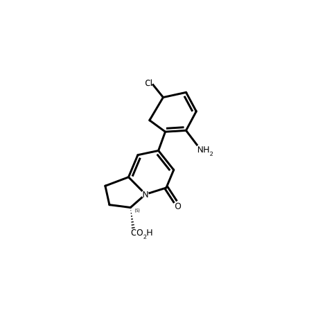 NC1=C(c2cc3n(c(=O)c2)[C@H](C(=O)O)CC3)CC(Cl)C=C1